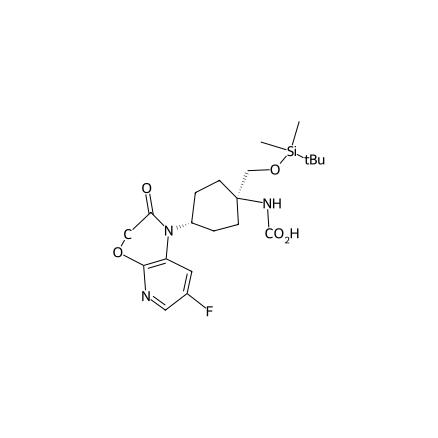 CC(C)(C)[Si](C)(C)OC[C@]1(NC(=O)O)CC[C@H](N2C(=O)COc3ncc(F)cc32)CC1